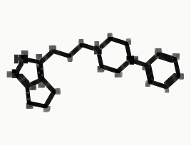 c1ccc(N2CCN(CCCc3[nH]nc4c3CCC4)CC2)cc1